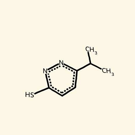 CC(C)c1ccc(S)nn1